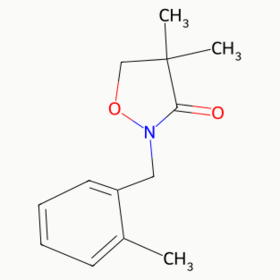 Cc1ccccc1CN1OCC(C)(C)C1=O